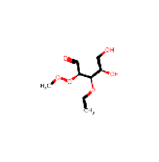 CCO[C@H]([C@H](O)CO)[C@H](C=O)OOC